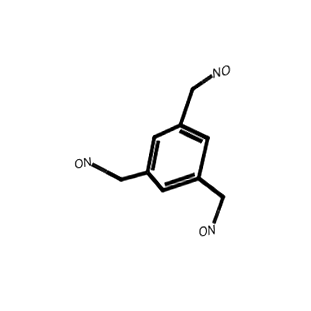 O=NCc1cc(CN=O)cc(CN=O)c1